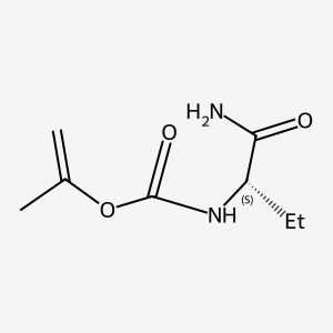 C=C(C)OC(=O)N[C@@H](CC)C(N)=O